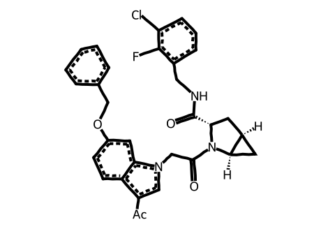 CC(=O)c1cn(CC(=O)N2[C@@H]3C[C@@H]3C[C@H]2C(=O)NCc2cccc(Cl)c2F)c2cc(OCc3ccccc3)ccc12